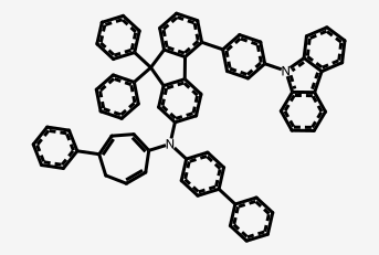 C1=CC(N(c2ccc(-c3ccccc3)cc2)c2ccc3c(c2)C(c2ccccc2)(c2ccccc2)c2cccc(-c4ccc(-n5c6ccccc6c6ccccc65)cc4)c2-3)=CC=C(c2ccccc2)C1